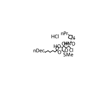 CCCCCCCCCCCCCCCC(=O)O[C@@H]1[C@@H](O)[C@@H](O)[C@@H]([C@H](NC(=O)[C@@H]2C[C@@H](CCC)CN2C)[C@H](C)Cl)O[C@@H]1SC.Cl